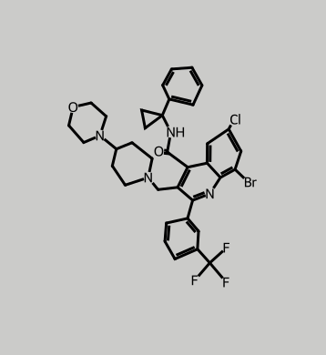 O=C(NC1(c2ccccc2)CC1)c1c(CN2CCC(N3CCOCC3)CC2)c(-c2cccc(C(F)(F)F)c2)nc2c(Br)cc(Cl)cc12